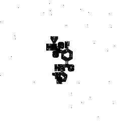 Cn1nccc1NC(=O)c1ccc(F)c(S(=O)(=O)NC2CC2)c1